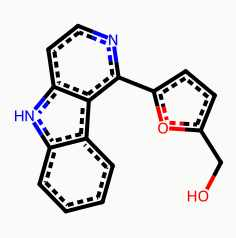 OCc1ccc(-c2nccc3[nH]c4ccccc4c23)o1